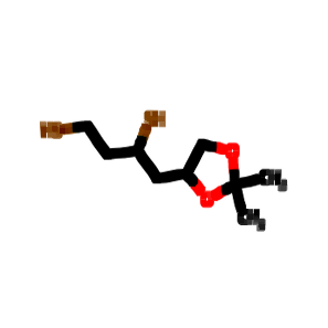 CC1(C)OCC(CC(S)CCS)O1